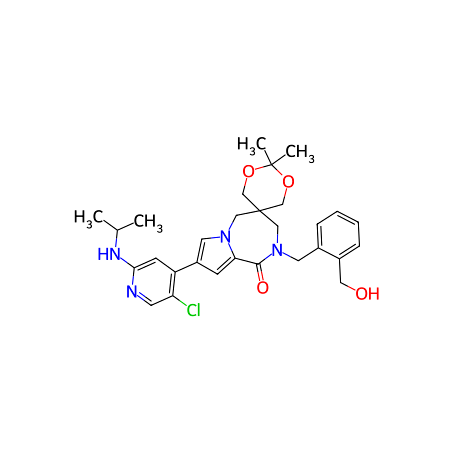 CC(C)Nc1cc(-c2cc3n(c2)CC2(COC(C)(C)OC2)CN(Cc2ccccc2CO)C3=O)c(Cl)cn1